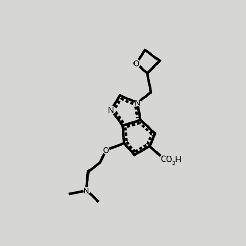 CN(C)CCOc1cc(C(=O)O)cc2c1ncn2CC1CCO1